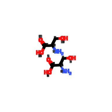 N[C@@H](CO)C(=O)O.N[C@H](CO)C(=O)O